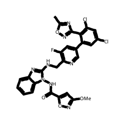 COc1cc(C(=O)Nn2c(NCc3ncc(-c4cc(Cl)cc(Cl)c4-c4noc(C)n4)cc3F)nc3ccccc32)on1